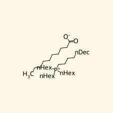 CCCCCCCCCC(=O)[O-].CCCCCCCCCCCCCC[P+](CCCCCC)(CCCCCC)CCCCCC